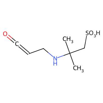 CC(C)(CS(=O)(=O)O)NCC=C=O